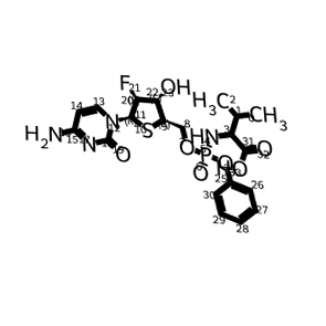 CC(C)C(NP(=O)(OC[C@H]1S[C@@H](n2ccc(N)nc2=O)[C@@H](F)[C@@H]1O)Oc1ccccc1)C(=O)O